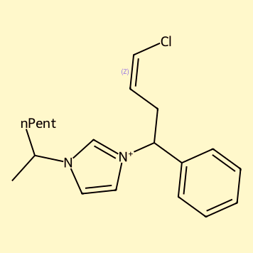 CCCCCC(C)n1cc[n+](C(C/C=C\Cl)c2ccccc2)c1